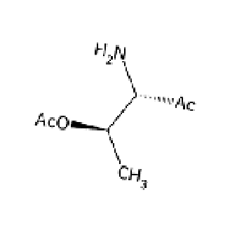 CC(=O)O[C@H](C)[C@H](N)C(C)=O